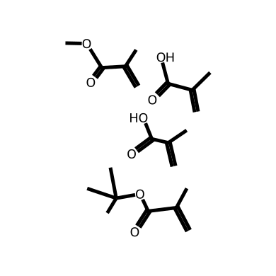 C=C(C)C(=O)O.C=C(C)C(=O)O.C=C(C)C(=O)OC.C=C(C)C(=O)OC(C)(C)C